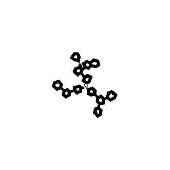 c1ccc(-c2cccc(-c3ccc(N(c4ccc(-c5cc(-c6ccccc6)cc(-c6ccccc6)c5)cc4)c4cccc(-c5cccc6c5c5cc7ccccc7cc5n6-c5ccccc5)c4)cc3)c2)cc1